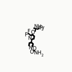 CC(C)CC(C)(N)COc1ccc(-c2ccnc(OC(N)=O)c2)nc1C(F)F